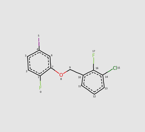 Fc1ccc(I)cc1OCc1cccc(Cl)c1F